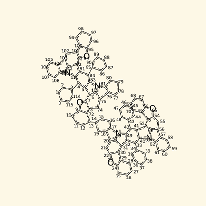 c1ccc(-c2c3c4c5oc6cccc(-c7ccc8c(c7)c7cc9oc%10ccccc%10c9c9c%10c(-c%11ccccc%11)c%11c(c(-c%12ccccc%12)c%10n8c79)c7c8c(cc9c%10ccccc%10n%11c97)oc7ccccc78)c6c5cc5c6ccccc6n(c3c(-c3ccccc3)c3c6c7oc8ccccc8c7cc7c8ccccc8n(c23)c76)c54)cc1